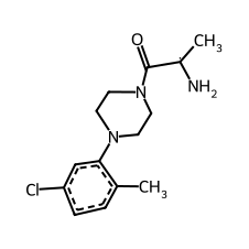 C[C](N)C(=O)N1CCN(c2cc(Cl)ccc2C)CC1